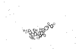 Cc1cc(-n2c(Cl)cc3c(=O)n(CC4(O)CCN(C(=O)c5cccc(Cl)c5)CC4)cnc32)ccc1[C@H]1CO[C@H](C)CN1C(=O)OC(C)(C)C